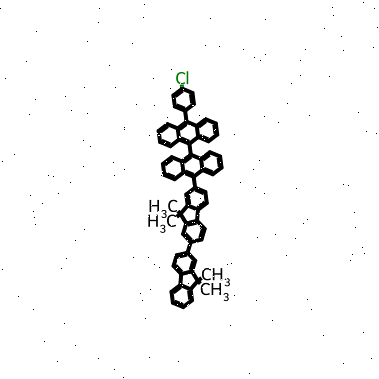 CC1(C)c2ccccc2-c2ccc(-c3ccc4c(c3)C(C)(C)c3cc(-c5c6ccccc6c(-c6c7ccccc7c(-c7ccc(Cl)cc7)c7ccccc67)c6ccccc56)ccc3-4)cc21